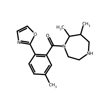 Cc1ccc(-c2ncco2)c(C(=O)N2CCNCC(C)C2C)c1